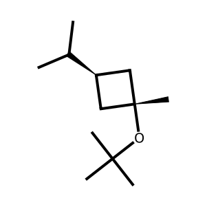 CC(C)[C@H]1C[C@](C)(OC(C)(C)C)C1